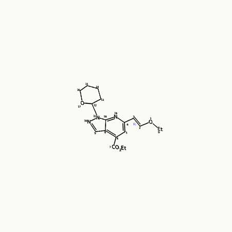 CCO/C=C/c1cc(C(=O)OCC)c2cnn(C3CCCCO3)c2n1